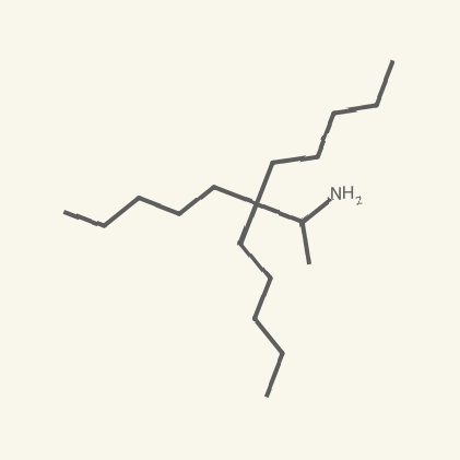 CCCCCC(CCCCC)(CCCCC)C(C)N